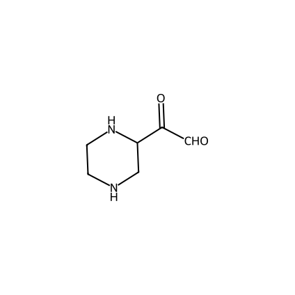 O=CC(=O)C1CNCCN1